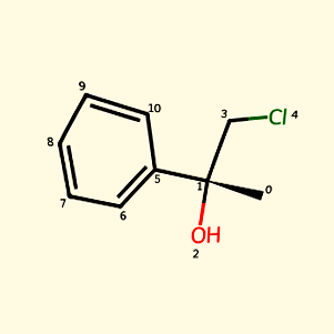 C[C@](O)(CCl)c1ccccc1